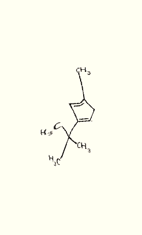 CC1=CC(C(C)(C)C)=[C]C1